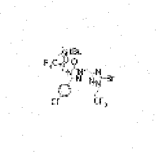 CC(C)(C)[Si](C)(C)O[C@@H](Cn1c(-c2ccc(Cl)cc2)nn(Cc2nc(Br)n(CCC(F)(F)F)n2)c1=O)C(F)(F)F